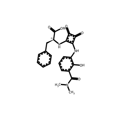 COC(=O)[C@H](Cc1ccccc1)Nc1c(Nc2cccc(C(=O)N(C)C)c2O)c(=O)c1=O